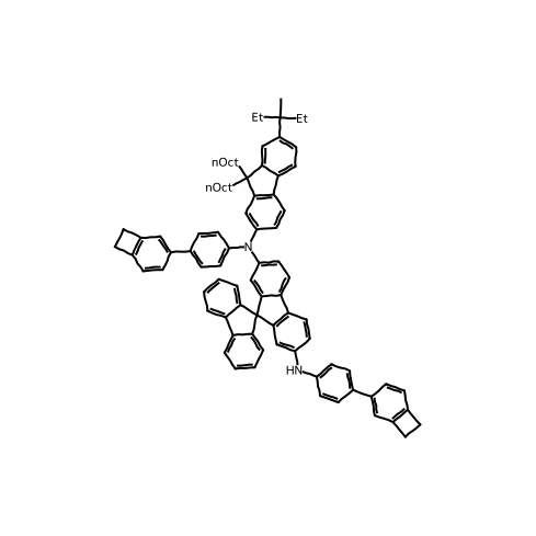 CCCCCCCCC1(CCCCCCCC)c2cc(N(c3ccc(-c4ccc5c(c4)CC5)cc3)c3ccc4c(c3)C3(c5ccccc5-c5ccccc53)c3cc(Nc5ccc(-c6ccc7c(c6)CC7)cc5)ccc3-4)ccc2-c2ccc(C(C)(CC)CC)cc21